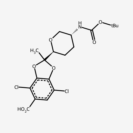 CC(C)(C)OC(=O)N[C@@H]1CC[C@@H](C2(C)Oc3c(Cl)cc(C(=O)O)c(Cl)c3O2)OC1